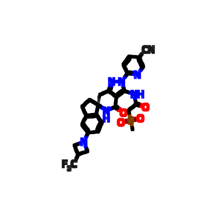 CS(=O)(=O)CC(=O)Nc1c2c(nn1-c1ccc(C#N)cn1)C[C@]1(CCc3cc(N4CC(C(F)(F)F)C4)ccc31)NC2=O